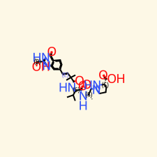 CC(C)[C@H](NC(=O)C(C)(C)/C=C/c1ccc2c(=O)[nH]c([C@@H](C)O)nc2c1)C(=O)N[C@@H](C)C(=O)N1CCC[C@@H](C(=O)O)N1